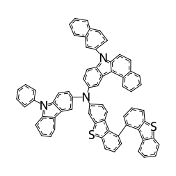 c1ccc(-n2c3ccccc3c3cc(N(c4ccc5c(c4)sc4cccc(-c6cccc7sc8ccccc8c67)c45)c4ccc5c(c4)c4c6ccccc6ccc4n5-c4ccc5ccccc5c4)ccc32)cc1